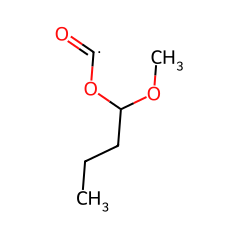 CCCC(OC)O[C]=O